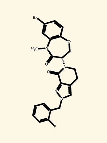 CN1C(=O)[C@@H](N2CCc3cn(Cc4ccccc4F)nc3C2=O)COc2ccc(Br)cc21